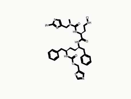 CC(C)c1nc(CN(C)C(=O)N[C@@H](CCNCl)C(=O)N[C@H](CC[C@H](Cc2ccccc2)NC(=O)OCc2cncs2)Cc2ccccc2)cs1